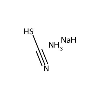 N.N#CS.[NaH]